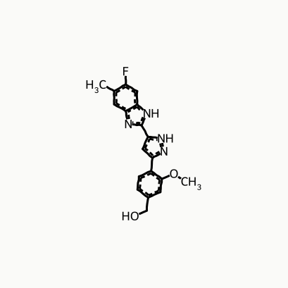 COc1cc(CO)ccc1-c1cc(-c2nc3cc(C)c(F)cc3[nH]2)[nH]n1